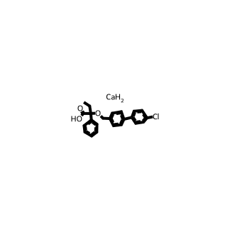 CCC(OCc1ccc(-c2ccc(Cl)cc2)cc1)(C(=O)O)c1ccccc1.[CaH2]